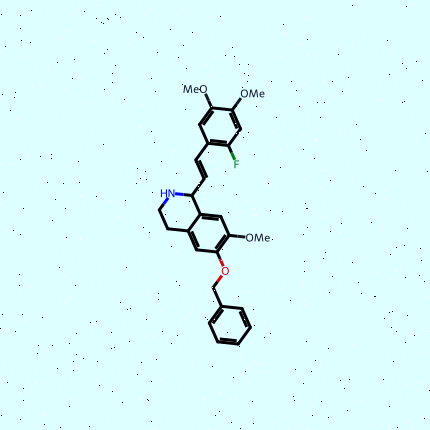 COc1cc(F)c(C=CC2NCCc3cc(OCc4ccccc4)c(OC)cc32)cc1OC